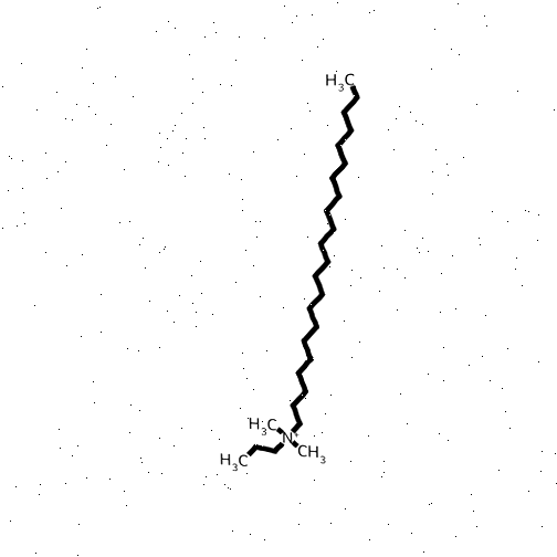 CCCCCCCCCCCCCCCCCCCCCC[N+](C)(C)CCC